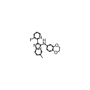 Cc1ccc2nc(-c3ncccc3F)c(Nc3ccc4c(c3)OCCO4)n2c1